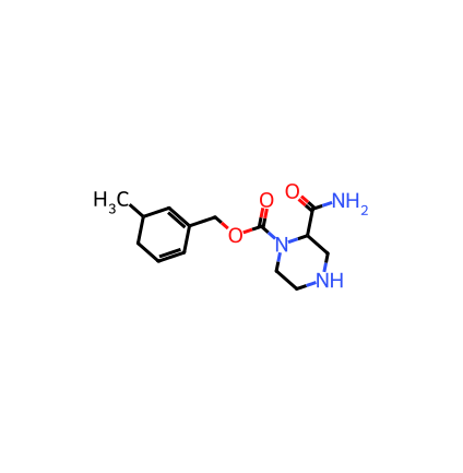 CC1C=C(COC(=O)N2CCNCC2C(N)=O)C=CC1